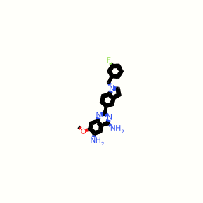 COc1cc2nc(-c3ccc4c(ccn4Cc4cccc(F)c4)c3)nc(N)c2cc1N